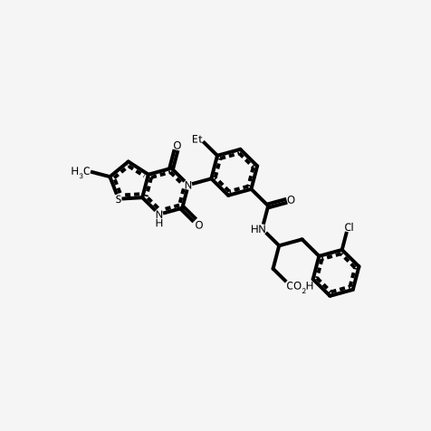 CCc1ccc(C(=O)NC(CC(=O)O)Cc2ccccc2Cl)cc1-n1c(=O)[nH]c2sc(C)cc2c1=O